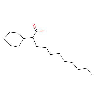 CCCCCCCCCC(C(=O)O)C1CCCCC1